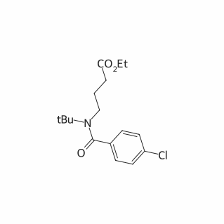 CCOC(=O)CCCN(C(=O)c1ccc(Cl)cc1)C(C)(C)C